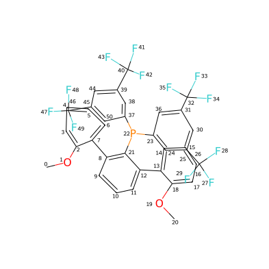 COc1ccccc1-c1cccc(-c2ccccc2OC)c1P(c1cc(C(F)(F)F)cc(C(F)(F)F)c1)c1cc(C(F)(F)F)cc(C(F)(F)F)c1